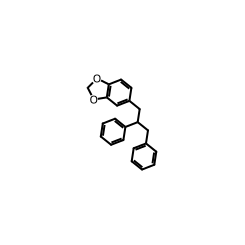 c1ccc(CC(Cc2ccc3c(c2)OCO3)c2ccccc2)cc1